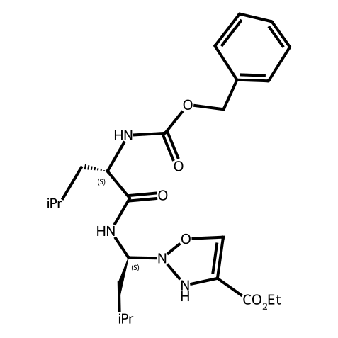 CCOC(=O)C1=CON([C@@H](CC(C)C)NC(=O)[C@H](CC(C)C)NC(=O)OCc2ccccc2)N1